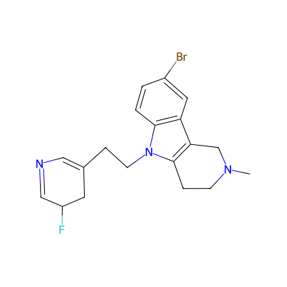 CN1CCc2c(c3cc(Br)ccc3n2CCC2=CN=CC(F)C2)C1